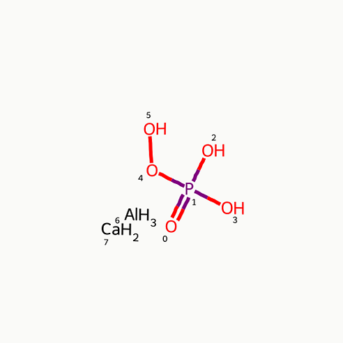 O=P(O)(O)OO.[AlH3].[CaH2]